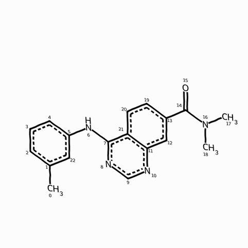 Cc1cccc(Nc2ncnc3cc(C(=O)N(C)C)ccc23)c1